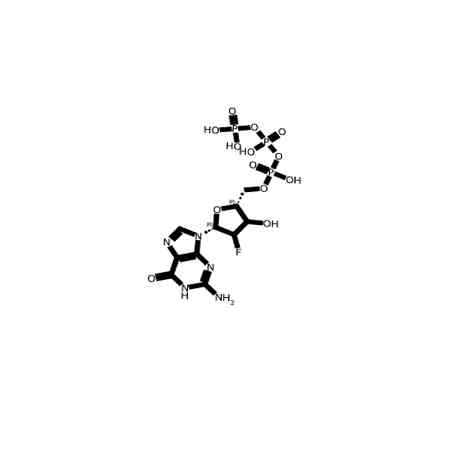 Nc1nc2c(ncn2[C@@H]2O[C@H](COP(=O)(O)OP(=O)(O)OP(=O)(O)O)C(O)C2F)c(=O)[nH]1